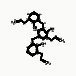 C=CCc1cccc(Cc2cc(CC=C)c(O)c(Cc3cccc(CC=C)c3O)c2)c1O